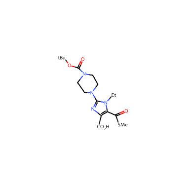 CCn1c(N2CCN(C(=O)OC(C)(C)C)CC2)nc(C(=O)O)c1C(=O)SC